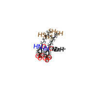 O=C(CCCCC(S)CCS)Nc1ccc(S(=O)(=O)[O-])cc1.O=C(CCCCC(S)CCS)Nc1ccc(S(=O)(=O)[O-])cc1.[NaH].[Zn+2]